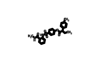 CCC(C(=O)Oc1ccc(S(=O)(=O)Nc2ccccc2C(=O)NC)cc1)c1ccc(C)cc1